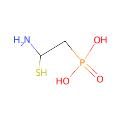 NC(S)CP(=O)(O)O